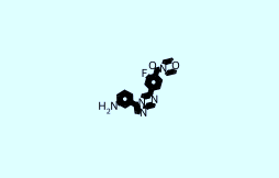 Nc1cccc(-c2cnc3cnc(-c4ccc(C(=O)N5CCOCC5)c(F)c4)cn23)c1